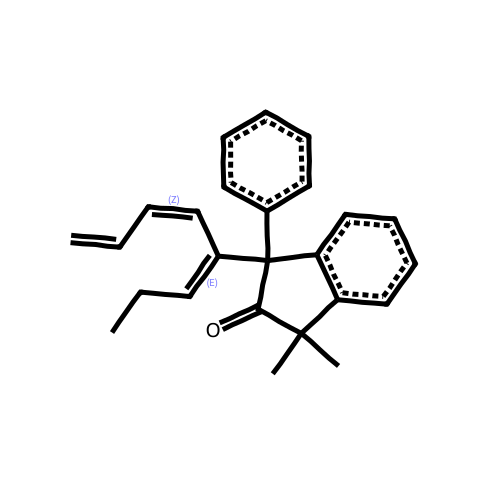 C=C/C=C\C(=C/CC)C1(c2ccccc2)C(=O)C(C)(C)c2ccccc21